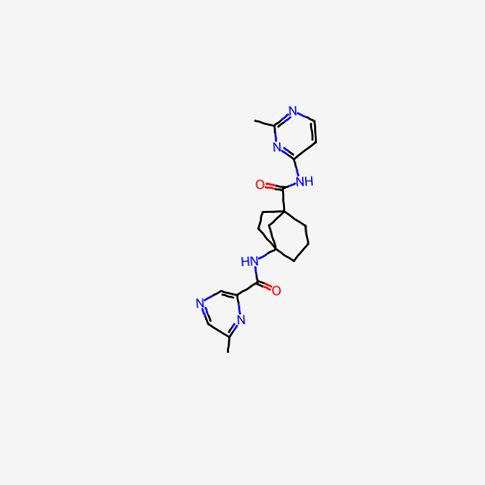 Cc1cncc(C(=O)NC23CCCC(C(=O)Nc4ccnc(C)n4)(CC2)C3)n1